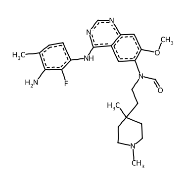 COc1cc2ncnc(Nc3ccc(C)c(N)c3F)c2cc1N(C=O)CCC1(C)CCN(C)CC1